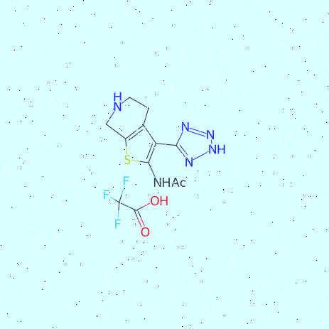 CC(=O)Nc1sc2c(c1-c1nn[nH]n1)CCNC2.O=C(O)C(F)(F)F